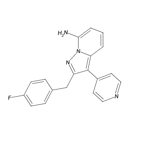 Nc1cccc2c(-c3ccncc3)c(Cc3ccc(F)cc3)nn12